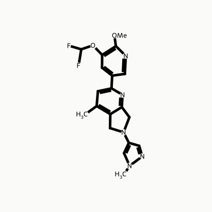 COc1ncc(-c2cc(C)c3c(n2)CN(c2cnn(C)c2)C3)cc1OC(F)F